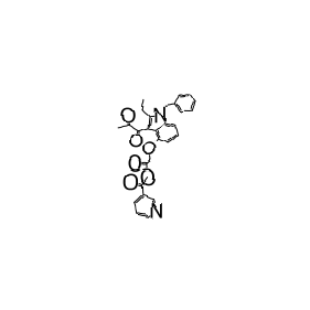 CCc1c(C(=O)C(C)=O)c2c(OCC(=O)OC(=O)c3cccnc3)cccc2n1Cc1ccccc1